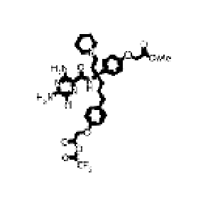 COC(=O)COc1ccc(C(CCCc2ccc(OCC(=O)OC(=O)C(F)(F)F)cc2)(CCN2CCCCC2)NC(=O)c2nc(Cl)c(N)nc2N)cc1